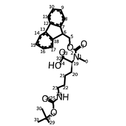 CN(C(=O)OCC1c2ccccc2-c2ccccc21)[C@@H](CCCCNC(=O)OC(C)(C)C)C(=O)O